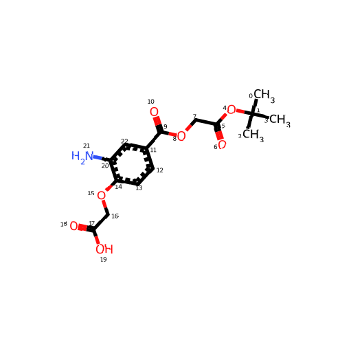 CC(C)(C)OC(=O)COC(=O)c1ccc(OCC(=O)O)c(N)c1